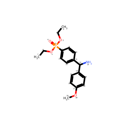 CCOP(=O)(OCC)c1ccc(C(N)c2ccc(OC)cc2)cc1